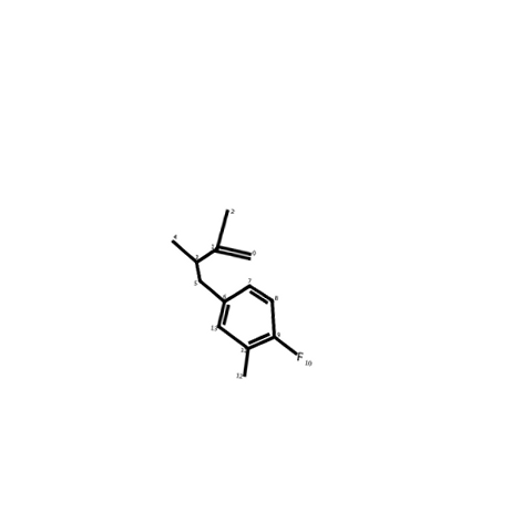 C=C(C)C(C)Cc1ccc(F)c(C)c1